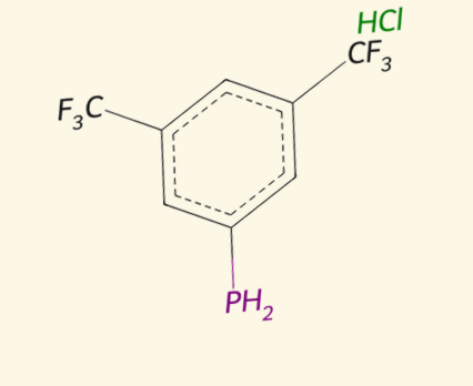 Cl.FC(F)(F)c1cc(P)cc(C(F)(F)F)c1